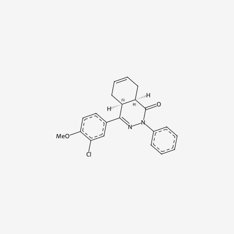 COc1ccc(C2=NN(c3ccccc3)C(=O)[C@@H]3CC=CC[C@H]23)cc1Cl